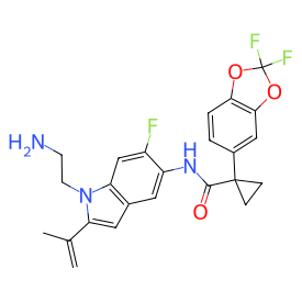 C=C(C)c1cc2cc(NC(=O)C3(c4ccc5c(c4)OC(F)(F)O5)CC3)c(F)cc2n1CCN